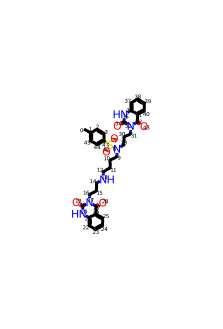 Cc1ccc(S(=O)(=O)N(CCCCNCCCn2c(=O)[nH]c3ccccc3c2=O)CCCn2c(=O)[nH]c3ccccc3c2=O)cc1